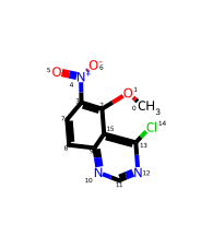 COc1c([N+](=O)[O-])ccc2ncnc(Cl)c12